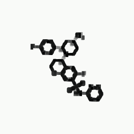 O=S(=O)(Nc1cccnn1)c1cc2c(cc1F)[C@@H](N1CC[C@@H](C(F)(F)F)C[C@H]1c1ccc(F)cc1)CCO2